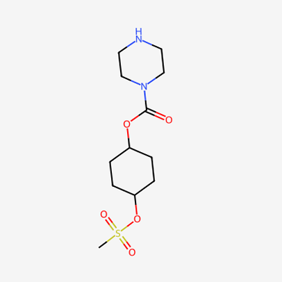 CS(=O)(=O)OC1CCC(OC(=O)N2CCNCC2)CC1